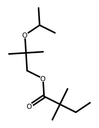 CCC(C)(C)C(=O)OCC(C)(C)OC(C)C